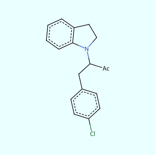 CC(=O)C(Cc1ccc(Cl)cc1)N1CCc2ccccc21